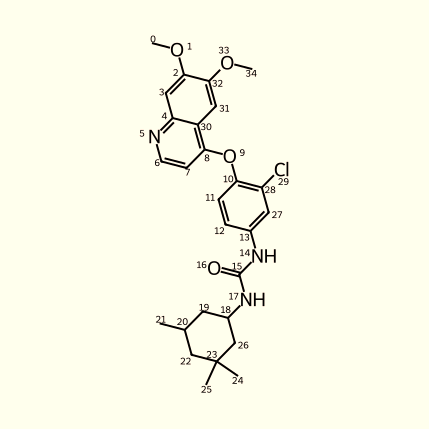 COc1cc2nccc(Oc3ccc(NC(=O)NC4CC(C)CC(C)(C)C4)cc3Cl)c2cc1OC